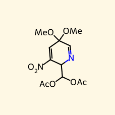 COC1(OC)C=NC(C(OC(C)=O)OC(C)=O)C([N+](=O)[O-])=C1